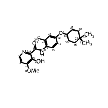 COc1ccnc(C(=O)Nc2ccc(OC3CCC(C)(C)CC3)cc2F)c1O